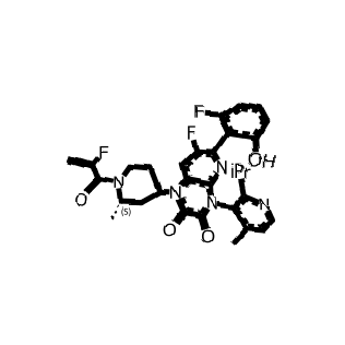 C=C(F)C(=O)N1CCC(n2c(=O)c(=O)n(-c3c(C)ccnc3C(C)C)c3nc(-c4c(O)cccc4F)c(F)cc32)C[C@@H]1C